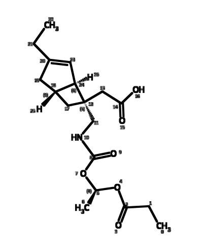 CCC(=O)O[C@@H](C)OC(=O)NC[C@]1(CC(=O)O)C[C@@H]2CC(CC)=C[C@H]21